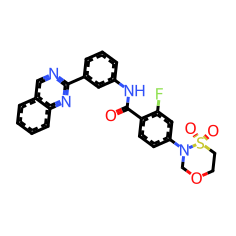 O=C(Nc1cccc(-c2ncc3ccccc3n2)c1)c1ccc(N2COCCS2(=O)=O)cc1F